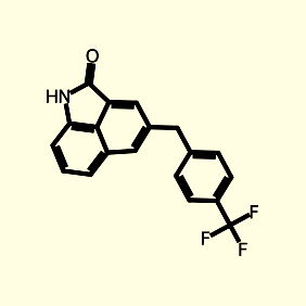 O=C1Nc2cccc3cc(Cc4ccc(C(F)(F)F)cc4)cc1c23